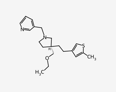 CCOC[C@]1(CCc2csc(C)c2)CCN(Cc2cccnc2)C1